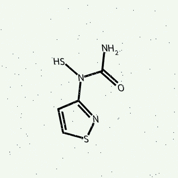 NC(=O)N(S)c1ccsn1